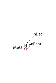 CCCCCC.CCCCCCCCCCCCCCCCC(=O)OC